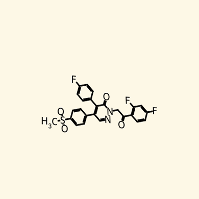 CS(=O)(=O)c1ccc(-c2cnn(CC(=O)c3ccc(F)cc3F)c(=O)c2-c2ccc(F)cc2)cc1